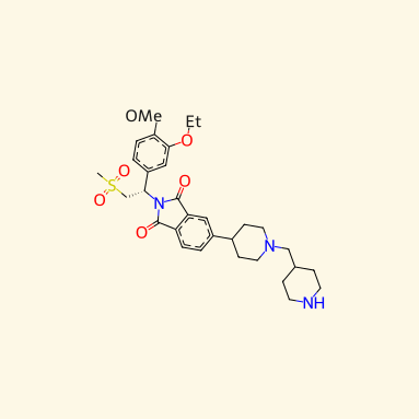 CCOc1cc([C@@H](CS(C)(=O)=O)N2C(=O)c3ccc(C4CCN(CC5CCNCC5)CC4)cc3C2=O)ccc1OC